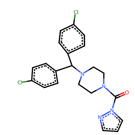 O=C(N1CCN(C(c2ccc(Cl)cc2)c2ccc(Cl)cc2)CC1)n1cccn1